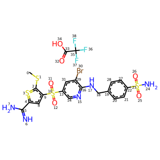 CSc1sc(C(=N)N)cc1S(=O)(=O)c1cnc(NCc2ccc(S(N)(=O)=O)cc2)c(Br)c1.O=C(O)C(F)(F)F